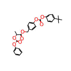 CC(OC(=O)Oc1ccccc1)C(=O)OCc1ccc(OC(=O)Oc2ccc(C(C)(C)C)cc2)cc1